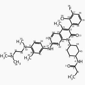 CCC(=O)NC1CCC(n2c(=O)c(-c3cccc(F)c3Cl)c(C)c3cnc(Nc4ccc(N(C)CCN(C)C)c(C)c4)nc32)CC1